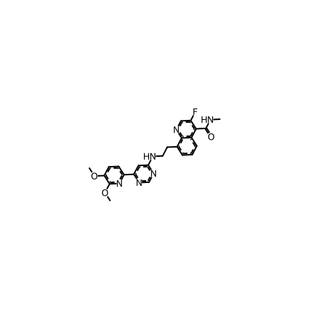 CNC(=O)c1c(F)cnc2c(CCNc3cc(-c4ccc(OC)c(OC)n4)ncn3)cccc12